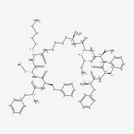 CC(C)C[C@@H](NC(=O)[C@@H](CCc1ccccc1)NC(=O)[C@H](N)Cc1ccccc1)C(=O)N[C@H](CCCCCN)C(=O)NCCCC[C@H](NC(=O)[C@@H](CCCN)NC(=O)[C@@H](CC(C)C)NC(=O)[C@@H](Cc1ccccc1)NC(=O)[C@H](N)Cc1ccccc1)C(=O)O